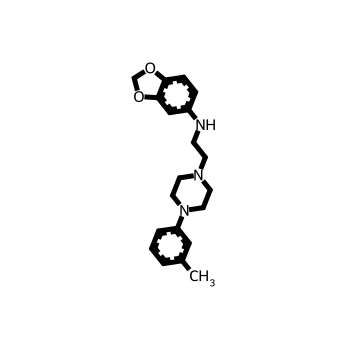 Cc1cccc(N2CCN(CCNc3ccc4c(c3)OCO4)CC2)c1